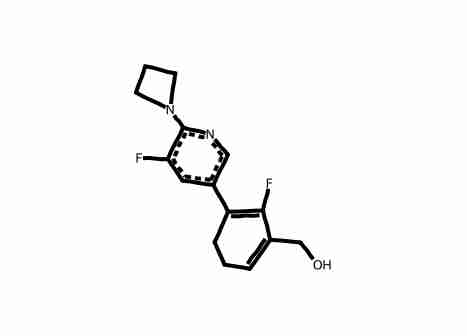 OCC1=CCCC(c2cnc(N3CCC3)c(F)c2)=C1F